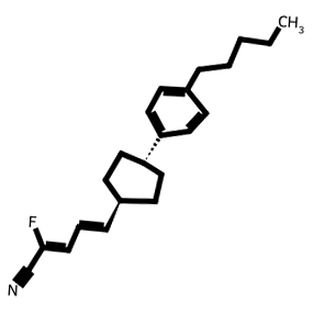 CCCCCc1ccc([C@H]2CC[C@H](C=CC=C(F)C#N)CC2)cc1